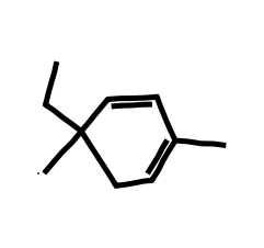 [CH2]C1(CC)C=CC(C)=CC1